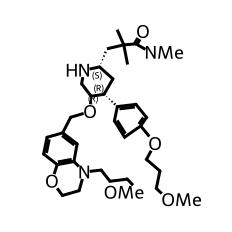 CNC(=O)C(C)(C)C[C@@H]1C[C@H](c2ccc(OCCCOC)cc2)[C@@H](OCc2ccc3c(c2)N(CCCOC)CCO3)CN1